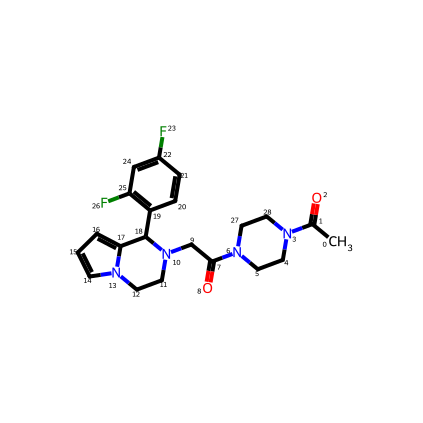 CC(=O)N1CCN(C(=O)CN2CCn3cccc3C2c2ccc(F)cc2F)CC1